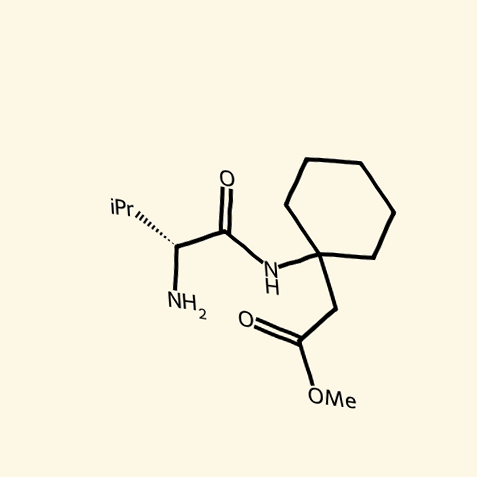 COC(=O)CC1(NC(=O)[C@H](N)C(C)C)CCCCC1